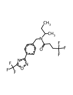 CCC(C)N(Cc1ccc(-c2noc(C(F)(F)F)n2)cc1)C(=O)CCC(F)(F)F